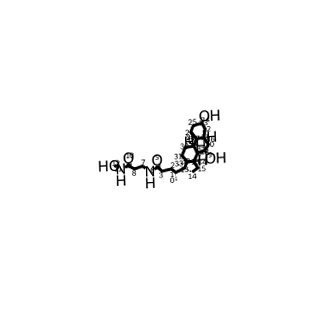 C[C@H](CCC(=O)NCCC(=O)NO)[C@H]1CC[C@H]2[C@@H]3[C@@H](O)C[C@@H]4C[C@H](O)CC[C@]4(C)[C@H]3CC[C@]12C